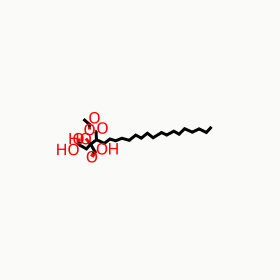 CCCCCCCCCCCCCCCCCCC(C(=O)OC(C)=O)C(O)(CC(=O)O)C(=O)O